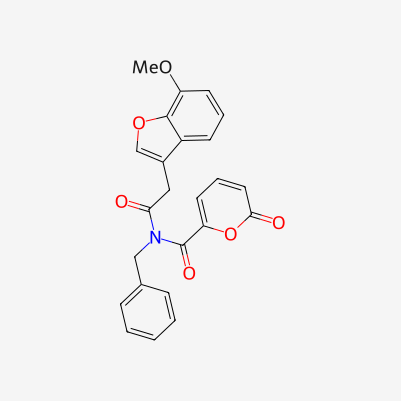 COc1cccc2c(CC(=O)N(Cc3ccccc3)C(=O)c3cccc(=O)o3)coc12